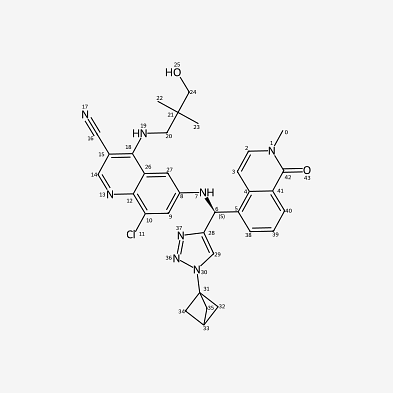 Cn1ccc2c([C@H](Nc3cc(Cl)c4ncc(C#N)c(NCC(C)(C)CO)c4c3)c3cn(C45CC(C4)C5)nn3)cccc2c1=O